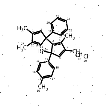 CC1=CC(C2=C(C)C(C)=C[C]2([Hf+2])c2ccc(C)cc2)(c2ccccc2)C=C1C.[Cl-].[Cl-]